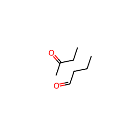 CCC(C)=O.CCCC=O